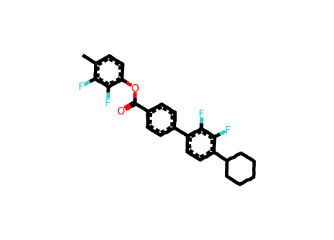 Cc1ccc(OC(=O)c2ccc(-c3ccc(C4CCCCC4)c(F)c3F)cc2)c(F)c1F